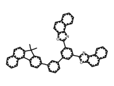 CC1(C)c2cc(-c3cccc(-c4cc(-c5nc6c(ccc7ccccc76)o5)cc(-c5nc6c(ccc7ccccc76)o5)c4)c3)ccc2-c2c1ccc1ccccc21